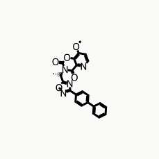 COc1ccnc2c(=O)n([C@@H](C)c3nc(-c4ccc(-c5ccccc5)cc4)no3)c(=O)oc12